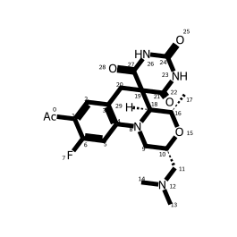 CC(=O)c1cc2c(cc1F)N1C[C@@H](CN(C)C)O[C@@H](C)[C@@H]1C1(C2)C(=O)NC(=O)NC1=O